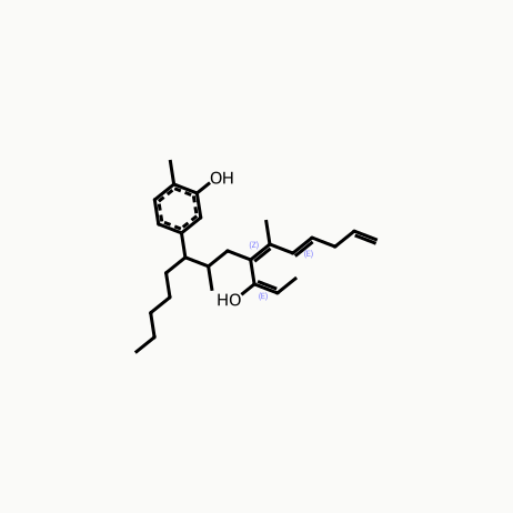 C=CC/C=C/C(C)=C(CC(C)C(CCCCC)c1ccc(C)c(O)c1)\C(O)=C/C